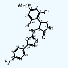 COc1cc(F)c(C2CNC(=O)C2Nc2nnc(-c3ccc(C(F)(F)F)nc3)o2)c(F)c1